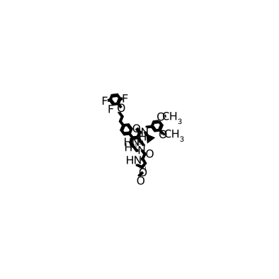 COc1cc(CN(C(=O)C2=C(c3ccc(CCCOc4c(F)ccc(F)c4F)cc3)C[C@H]3CN(C(=O)C4C[C@@H](OC=O)CN4)C[C@H]2N3)C2CC2)cc(OC)c1